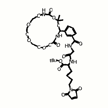 CC(C)(C)OC(=O)C(CCCCN1C(=O)C=CC1=O)NC(=O)CNC(=O)c1cccc(C2CC(C)(C)OC(=O)NCCOCCOCCOCC(=O)N2)c1